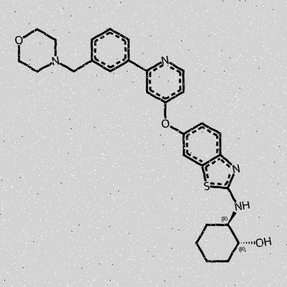 O[C@@H]1CCCC[C@H]1Nc1nc2ccc(Oc3ccnc(-c4cccc(CN5CCOCC5)c4)c3)cc2s1